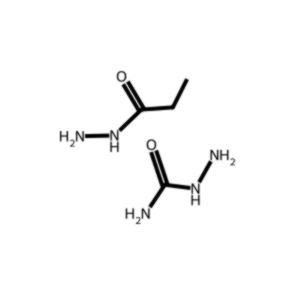 CCC(=O)NN.NNC(N)=O